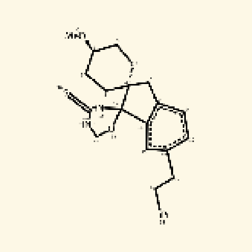 CO[C@H]1CC[C@]2(CC1)Cc1ccc(CCC(C)C)cc1C21NC(=S)NCO1